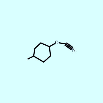 CC1CCC(OC#N)CC1